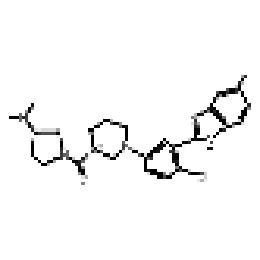 Cc1ccc2[nH]c(-c3cc(N4CCC[C@H](C(=O)N5CCC(N(C)C)C5)C4)ccc3Cl)nc2c1